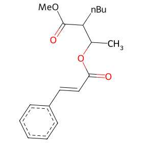 CCCCC(C(=O)OC)C(C)OC(=O)C=Cc1ccccc1